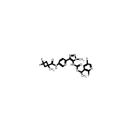 C[C@@H](OC(=O)Nc1c(-c2ccc(NC(=O)C3(C)CC(F)(F)C3)cn2)nnn1C)c1cc(F)cnc1F